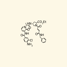 CCOC(=O)[C@@H]1C[C@@H](NC(=O)C(C)n2cccc(NC(=O)c3ccc(N)c(Cl)c3)c2=O)CN1C(=O)/C=C/C(=O)NCc1ccccc1